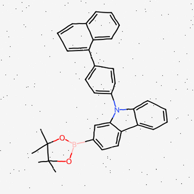 CC1(C)OB(c2ccc3c4ccccc4n(-c4ccc(-c5cccc6ccccc56)cc4)c3c2)OC1(C)C